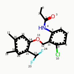 CCC(=O)Nc1cccc(Cl)c1COc1cc(C)c(C)cc1C(F)F